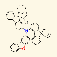 CCC1CC2CCCC(C2)C12c1ccccc1-c1ccc(N(c3ccc4oc5ccccc5c4c3)c3cccc4c3-c3ccccc3C43CC4CCC3C4)cc12